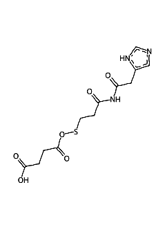 O=C(O)CCC(=O)OSCCC(=O)NC(=O)Cc1cnc[nH]1